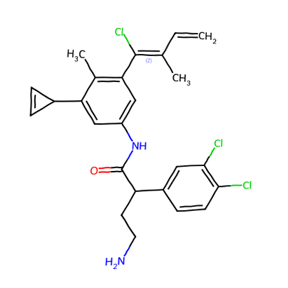 C=C/C(C)=C(\Cl)c1cc(NC(=O)C(CCN)c2ccc(Cl)c(Cl)c2)cc(C2C=C2)c1C